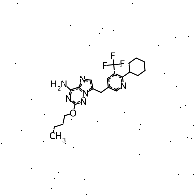 CCCCOc1nc(N)c2ncc(Cc3cnc(C4CCCCC4)c(C(F)(F)F)c3)n2n1